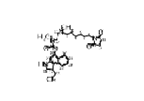 CN(CCCCCCN1C(=O)C=CC1=O)CCN(C)C(=O)Oc1cc2c(c3ccccc13)C(CCl)CN2